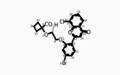 O=C(O)C1(OCCOc2cc(Br)ccc2-c2cc(=O)c3cccc(Cl)c3o2)CCC1